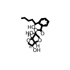 CCCCC(O)c1ccccc1C(=O)O[C@@]1(O)CO[C@@H]2[C@H](O)CO[C@@H]21